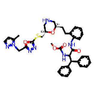 COC(=O)NC(C(=O)Nc1ccccc1CC[C@@H]1CNC[C@@H](CSc2nnc(Cn3nccc3C)o2)O1)C(c1ccccc1)c1ccccc1